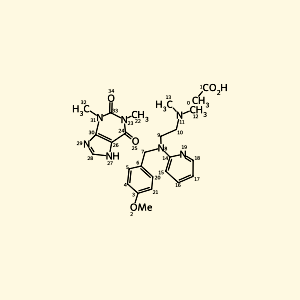 CC(=O)O.COc1ccc(CN(CCN(C)C)c2ccccn2)cc1.Cn1c(=O)c2[nH]cnc2n(C)c1=O